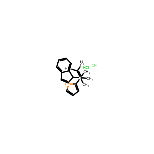 C[C](C)=[Ti]([CH3])([CH3])([CH3])([c]1ccc[pH]1)[CH]1C=Cc2ccccc21.Cl.Cl